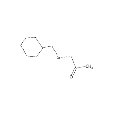 CC(=O)CSCC1CCCCC1